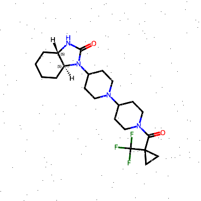 O=C1N[C@H]2CCCC[C@@H]2N1C1CCN(C2CCN(C(=O)C3(C(F)(F)F)CC3)CC2)CC1